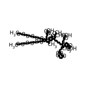 COCCOCCOCCOCCOCCOCCC1(CCOCCOCCOCCOCCOCCOC)C=C(C)c2cc3c(/C=C/C=C/C=C4\N(CCCS(=O)(=O)O)c5ccc(S(=O)(=O)O)cc5C4(C)CCCC(=O)ON4C(=O)CCC4=O)cc(C(C)(C)C)[o+]c3cc2N1CCCS(=O)(=O)O